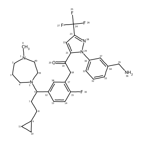 CN1CCCN(C(CCC2CC2)c2ccc(F)c(CC(=O)c3cc(C(F)(F)F)nn3-c3cccc(CN)c3)c2)CC1